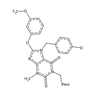 CCCC(C)Cn1c(=O)c2c(nc(Oc3cccc(OC(F)(F)F)c3)n2Cc2ccc(Cl)cc2)n(C)c1=O